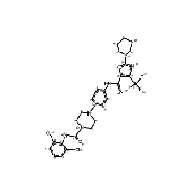 O=C(Nc1ccc(N2CCN(C(=O)Nc3c(Cl)cccc3Cl)CC2)nc1)c1oc(N2CCCCC2)nc1C(F)(F)F